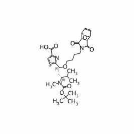 CC(C)[C@@H](C[C@@H](OCCCCN1C(=O)C2C3C=CC(O3)C2C1=O)c1nc(C(=O)O)cs1)N(C)C(=O)OC(C)(C)C